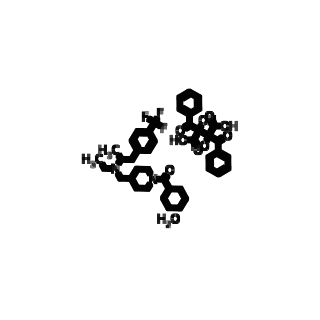 CCN(CC1CCN(C(=O)C2CCCCC2)CC1)C(C)Cc1ccc(C(F)(F)F)cc1.O.O=C(O)C(O)(C(=O)c1ccccc1)C(O)(C(=O)O)C(=O)c1ccccc1